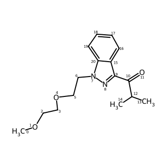 COCCOCCn1nc(C(=O)C(C)C)c2ccccc21